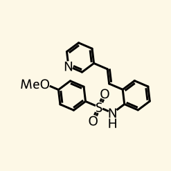 COc1ccc(S(=O)(=O)Nc2ccccc2/C=C/c2cccnc2)cc1